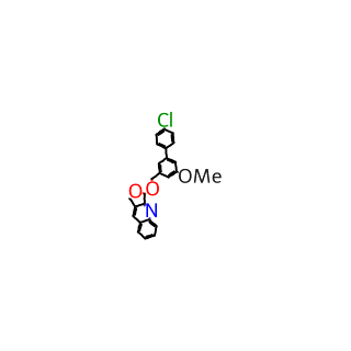 COc1cc(COC2OCc3cc4ccccc4nc32)cc(-c2ccc(Cl)cc2)c1